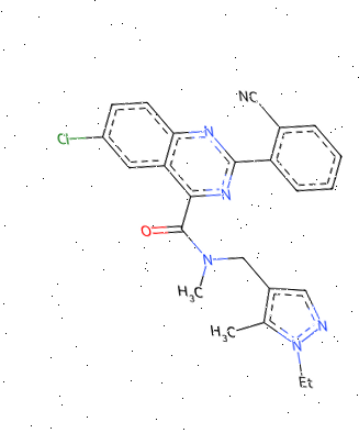 CCn1ncc(CN(C)C(=O)c2nc(-c3ccccc3C#N)nc3ccc(Cl)cc23)c1C